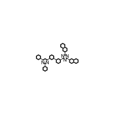 c1ccc(-c2cc(-c3cccc(-c4cccc(-c5nc(-c6ccc7ccccc7c6)nc(-c6ccc7ccccc7c6)n5)c4)c3)nc(-c3ccccc3)n2)cc1